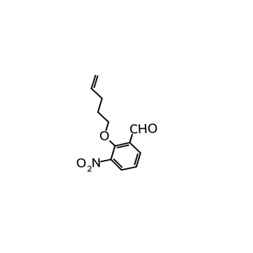 C=CCCCOc1c(C=O)cccc1[N+](=O)[O-]